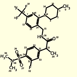 CC1CCN(c2nc(C(F)(F)F)ccc2CNC(=O)C(C)c2ccc(S(=O)(=O)N(C)C)c(F)c2)CC1